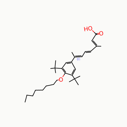 CCCCCCCCOc1c(C(C)(C)C)cc(/C(C)=C/C=CC(C)=CC(=O)O)cc1C(C)(C)C